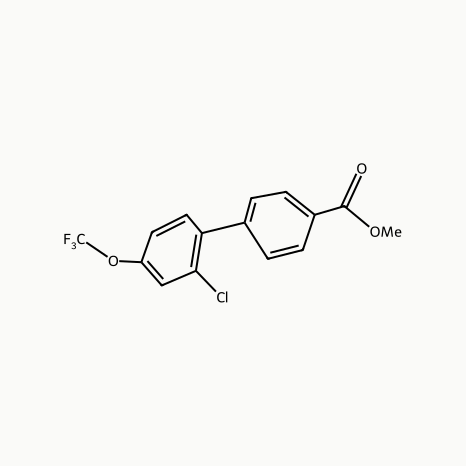 COC(=O)c1ccc(-c2ccc(OC(F)(F)F)cc2Cl)cc1